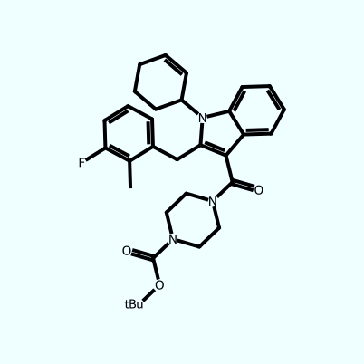 Cc1c(F)cccc1Cc1c(C(=O)N2CCN(C(=O)OC(C)(C)C)CC2)c2ccccc2n1C1C=CCCC1